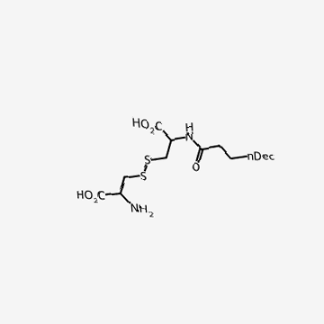 CCCCCCCCCCCCC(=O)NC(CSSCC(N)C(=O)O)C(=O)O